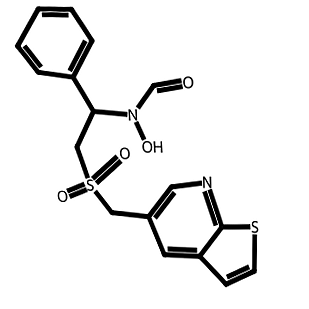 O=CN(O)C(CS(=O)(=O)Cc1cnc2sccc2c1)c1ccccc1